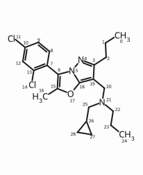 CCCc1nn2c(-c3ccc(Cl)cc3Cl)c(C)oc2c1CN(CCC)CC1CC1